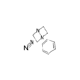 C1CN2CCN12.N#N.c1ccccc1